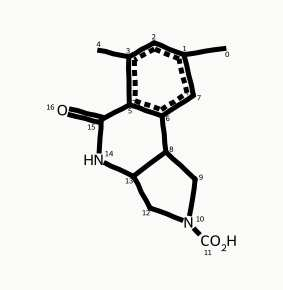 Cc1cc(C)c2c(c1)C1CN(C(=O)O)CC1NC2=O